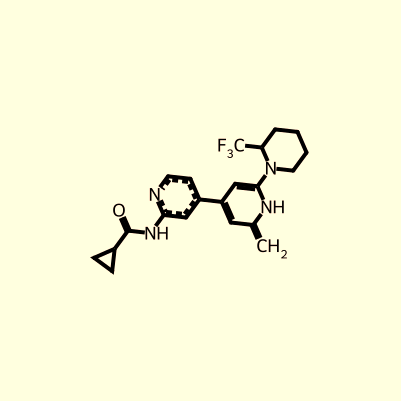 C=C1C=C(c2ccnc(NC(=O)C3CC3)c2)C=C(N2CCCCC2C(F)(F)F)N1